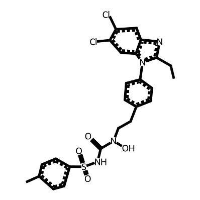 CCc1nc2cc(Cl)c(Cl)cc2n1-c1ccc(CCN(O)C(=O)NS(=O)(=O)c2ccc(C)cc2)cc1